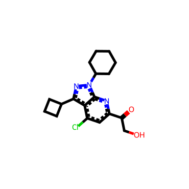 O=C(CO)c1cc(Cl)c2c(C3CCC3)nn(C3CCCCC3)c2n1